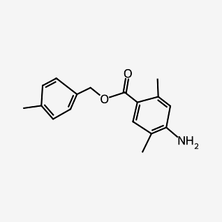 Cc1ccc(COC(=O)c2cc(C)c(N)cc2C)cc1